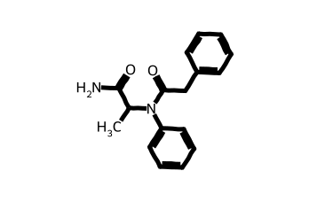 CC(C(N)=O)N(C(=O)Cc1ccccc1)c1ccccc1